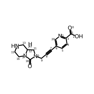 O=C(O)c1ccc(C#CCN2C[C@@H]3CNCCN3C2=O)cn1